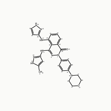 Cc1cc(Nc2nn(-c3ccc(N4CCOCC4)cc3)c(=O)c3cccc(Nc4cc[nH]n4)c23)n[nH]1